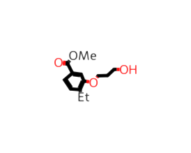 CCc1ccc(C(=O)OC)cc1OCCCO